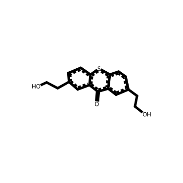 O=c1c2cc(CCO)ccc2sc2ccc(CCO)cc12